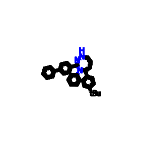 CC(C)(C)c1ccc(-c2ccc[nH]nc(-c3ccc(-c4ccccc4)cc3)n2-c2ccccc2)cc1